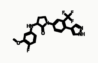 COc1cc(NC2CCN(c3ccc(-c4cn[nH]c4)c(C(F)(F)F)c3)C2=O)ccc1F